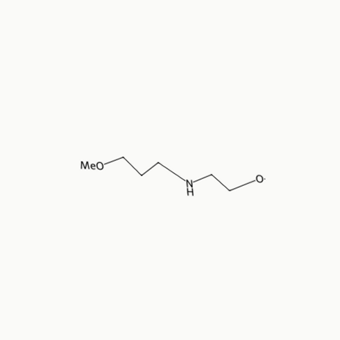 COCCCNCC[O]